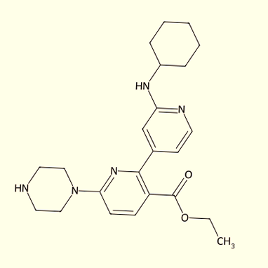 CCOC(=O)c1ccc(N2CCNCC2)nc1-c1ccnc(NC2CCCCC2)c1